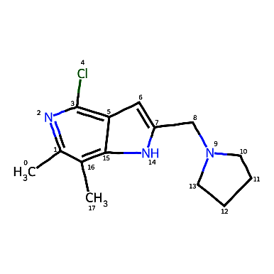 Cc1nc(Cl)c2cc(CN3CCCC3)[nH]c2c1C